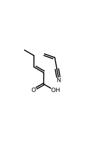 C=CC#N.CCC=CC(=O)O